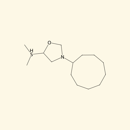 C[SH](C)C1CN(C2CCCCCCCC2)CO1